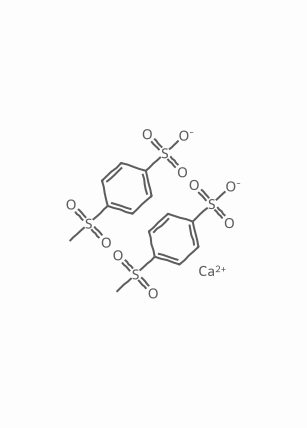 CS(=O)(=O)c1ccc(S(=O)(=O)[O-])cc1.CS(=O)(=O)c1ccc(S(=O)(=O)[O-])cc1.[Ca+2]